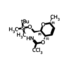 C[C@@H]1C=C[C@H](OC(=N)C(Cl)(Cl)Cl)[C@@H](CO[Si](C)(C)C(C)(C)C)O1